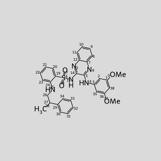 COc1cc(Nc2nc3ccccc3nc2NS(=O)(=O)c2ccccc2NCC(C)c2ccccc2)cc(OC)c1